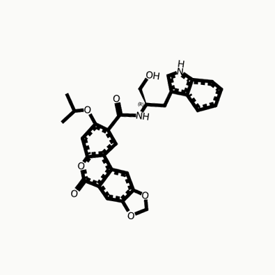 CC(C)Oc1cc2oc(=O)c3cc4c(cc3c2cc1C(=O)N[C@@H](CO)Cc1c[nH]c2ccccc12)OCO4